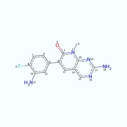 Cn1c(=O)c(-c2ccc(F)c(N)c2)cc2cnc(N)nc21